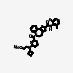 COCCN(c1cccc(C(=O)N2CCc3cc(C(=O)Nc4c(C)cccc4F)sc3-c3ccccc32)n1)C1CCC1